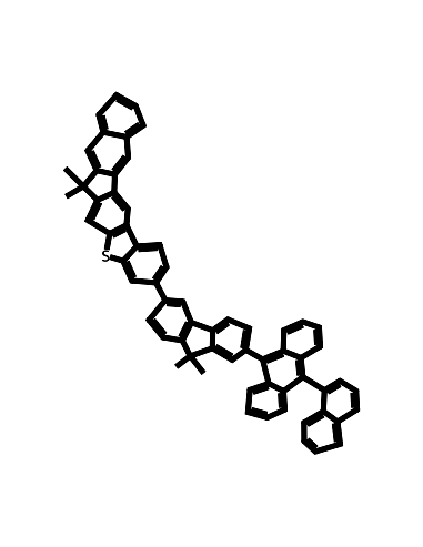 CC1(C)c2ccc(-c3ccc4c(c3)sc3cc5c(cc34)-c3cc4ccccc4cc3C5(C)C)cc2-c2ccc(-c3c4ccccc4c(-c4cccc5ccccc45)c4ccccc34)cc21